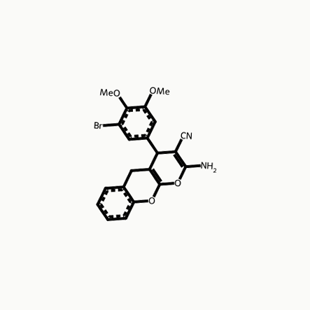 COc1cc(C2C(C#N)=C(N)OC3=C2Cc2ccccc2O3)cc(Br)c1OC